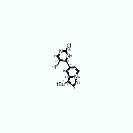 CC(C)(C)c1cnn2ccc(-c3nc(Cl)ncc3F)cc12